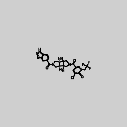 O=C(c1ccc2[nH]nnc2c1)N1C[C@@H]2[C@H](C1)[C@H]1CN(C(=O)c3cc(Cl)c(=O)n(CC(F)(F)F)c3)C[C@@H]21